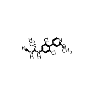 COc1cc(-c2c(Cl)cc(NC(NC#N)SC)cc2Cl)ccn1